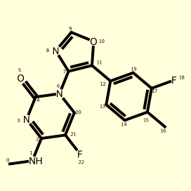 CNc1nc(=O)n(-c2ncoc2-c2ccc(C)c(F)c2)cc1F